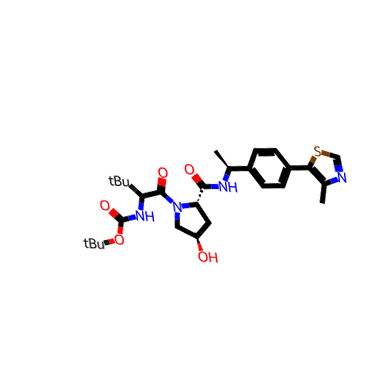 Cc1ncsc1-c1ccc([C@H](C)NC(=O)[C@@H]2C[C@@H](O)CN2C(=O)C(NC(=O)OC(C)(C)C)C(C)(C)C)cc1